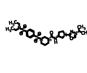 CCN(CC)S(=O)(=O)c1ccc(S(=O)(=O)N2CCC[C@@H](C(=O)N[C@@H]3CCN(c4n[n+](C(C)C)co4)C3)C2)cc1